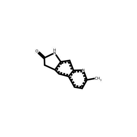 Cc1ccc2cc3c(cc2n1)NC(=O)C3